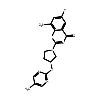 Cc1cnc(O[C@H]2CCN(c3nc(=O)c4cc(C(F)(F)F)cc([N+](=O)[O-])c4s3)C2)nc1